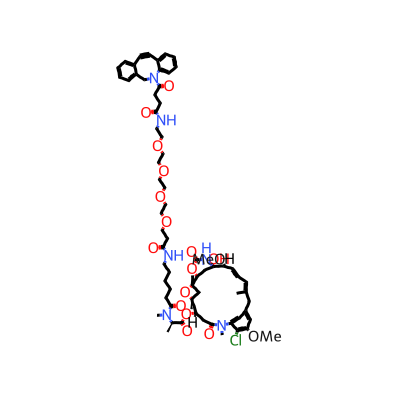 COc1cc2cc(c1Cl)N(C)C(=O)C[C@H](OC(=O)[C@@H](C)N(C)C(=O)CCCCCNC(=O)CCOCCOCCOCCOCCNC(=O)CCC(=O)N1Cc3ccccc3C#Cc3ccccc31)[C@@]1(C)CC(C)(O1)C1C[C@@](O)(NC(=O)O1)[C@H](OC)/C=C/C=C(\C)C2